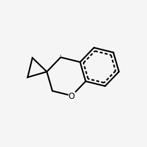 [CH]1c2ccccc2OCC12CC2